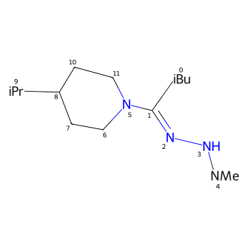 CCC(C)/C(=N\NNC)N1CCC(C(C)C)CC1